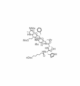 CCCCCCCCCCCCCCCC(=O)N[C@@H](Cc1c[nH]cn1)C(=O)N[C@@H](CO)C(=O)N[C@@H](CC(C)C)C(=O)N[C@H](C(=O)N[C@@H](Cc1ccccc1)C(=O)N[C@@H](CCSC)C(=O)N[C@@H](C)C(=O)NC)[C@@H](C)CC